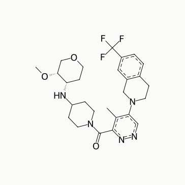 CO[C@@H]1COCC[C@@H]1NC1CCN(C(=O)c2nncc(N3CCc4ccc(C(F)(F)F)cc4C3)c2C)CC1